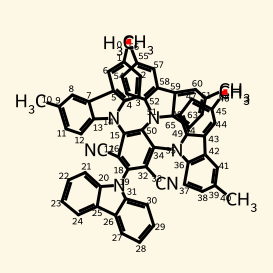 Cc1ccc2c(c1)c1cc(C)ccc1n2-c1c(C#N)c(-n2c3ccccc3c3ccccc32)c(C#N)c(-n2c3ccc(C)cc3c3cc(C)ccc32)c1-n1c2ccc(C)cc2c2cc(C)ccc21